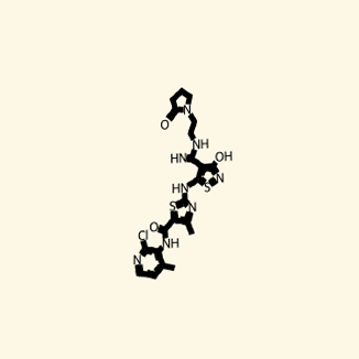 Cc1ccnc(Cl)c1NC(=O)c1sc(Nc2snc(O)c2C(=N)NCCN2CCCC2=O)nc1C